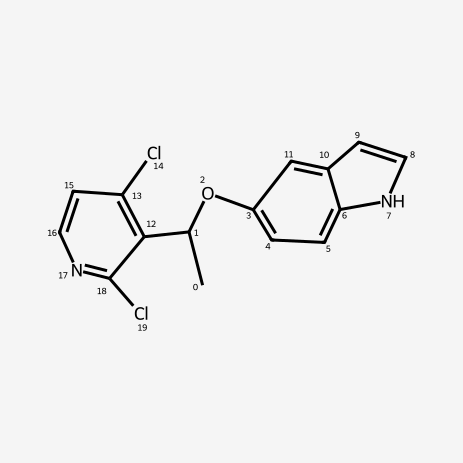 CC(Oc1ccc2[nH]ccc2c1)c1c(Cl)ccnc1Cl